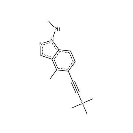 Cc1c(C#CS(C)(C)C)ccc2c1cnn2PI